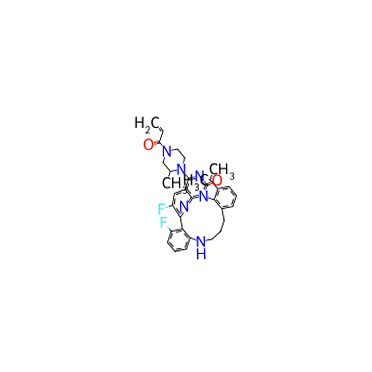 C=CC(=O)N1CCN(c2nc(=O)n3c4nc(c(F)cc24)-c2c(F)cccc2NCCCc2cccc(C(C)C)c2-3)C(C)C1